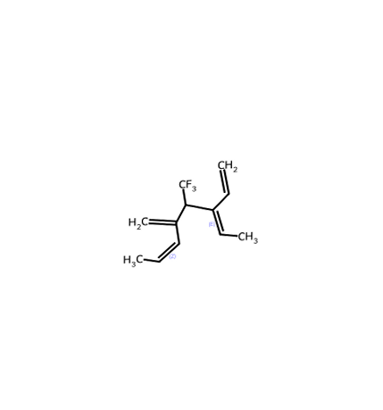 C=C/C(=C\C)C(C(=C)/C=C\C)C(F)(F)F